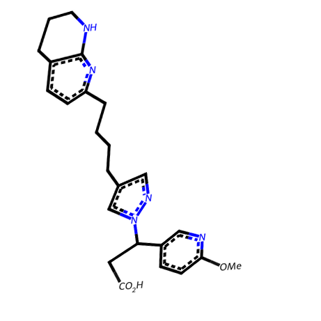 COc1ccc(C(CC(=O)O)n2cc(CCCCc3ccc4c(n3)NCCC4)cn2)cn1